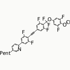 CCCCCc1ccc(-c2cc(F)c(C#Cc3cc(F)c(C(F)(F)Oc4cc(F)c(OC(F)(F)F)c(F)c4)c(F)c3)c(F)c2)nc1